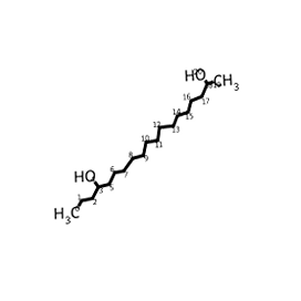 CCCC(O)CCCCCCCCCCCCCC(C)O